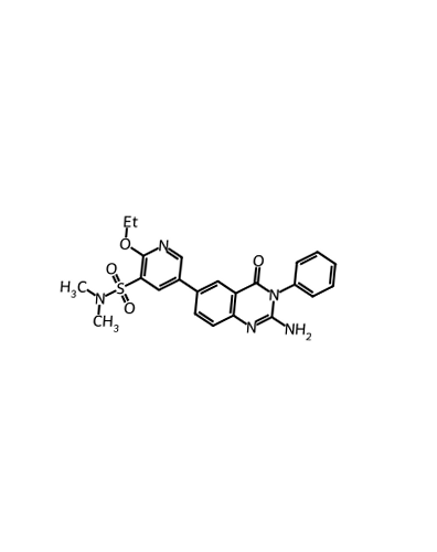 CCOc1ncc(-c2ccc3nc(N)n(-c4ccccc4)c(=O)c3c2)cc1S(=O)(=O)N(C)C